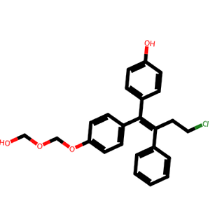 OCOCOc1ccc(/C(=C(/CCCl)c2ccccc2)c2ccc(O)cc2)cc1